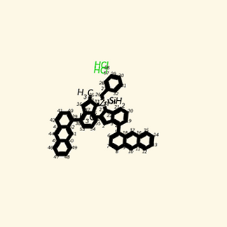 CC1=Cc2c(-c3cccc4cc5ccccc5cc34)cccc2[CH]1[Zr](=[SiH2])([CH2]c1ccccc1)[CH]1C(C)=Cc2c(-c3cccc4cc5ccccc5cc34)cccc21.Cl.Cl